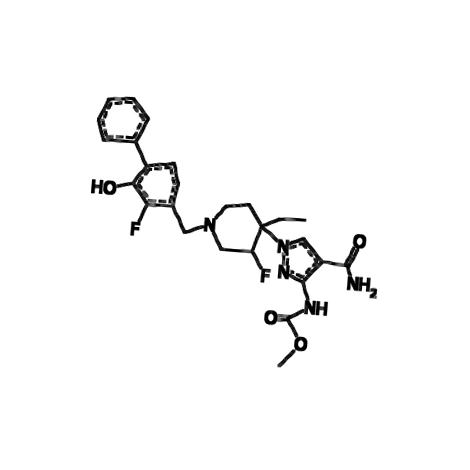 CCC1(n2cc(C(N)=O)c(NC(=O)OC)n2)CCN(Cc2ccc(-c3ccccc3)c(O)c2F)CC1F